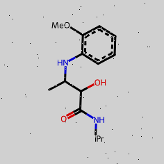 COc1ccccc1NC(C)C(O)C(=O)NC(C)C